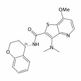 COc1ccnc2c(N(C)C)c(C(=O)N[C@H]3CCOc4ccccc43)sc12